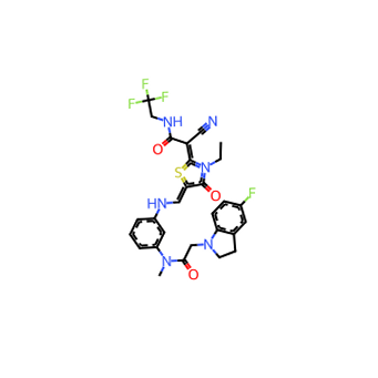 CCn1c(=C(C#N)C(=O)NCC(F)(F)F)sc(=CNc2cccc(N(C)C(=O)CN3CCc4cc(F)ccc43)c2)c1=O